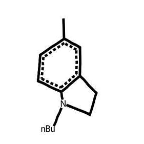 CCCCN1CCc2cc(C)ccc21